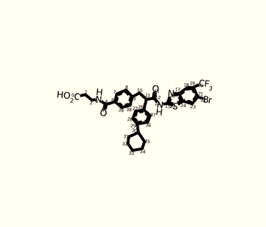 O=C(O)CCNC(=O)c1ccc(CC(C(=O)Nc2nc3cc(C(F)(F)F)c(Br)cc3s2)c2ccc(C3CCCCC3)cc2)cc1